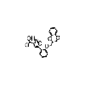 O=C(O)c1cc(-c2ccccc2OCC2COc3ccccc3O2)on1